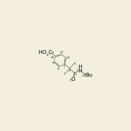 CC(C)(C)NC(=O)C(C)(C)c1ccc(C(=O)O)cc1